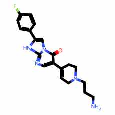 NCCCN1CC=C(c2cnc3[nH]c(-c4ccc(F)cc4)cn3c2=O)CC1